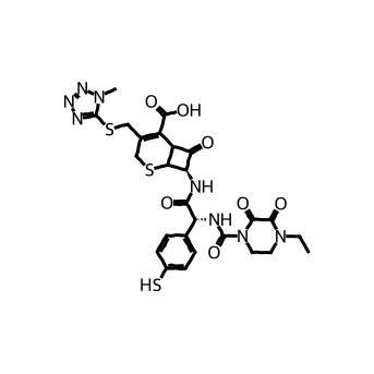 CCN1CCN(C(=O)N[C@@H](C(=O)N[C@@H]2C(=O)C3C(C(=O)O)=C(CSc4nnnn4C)CSC32)c2ccc(S)cc2)C(=O)C1=O